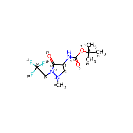 CN1CC(NC(=O)OC(C)(C)C)C(=O)N1CC(F)(F)F